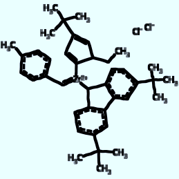 CCC1C=C(C(C)(C)C)C=[C]1/[Zr+2](=[CH]\c1ccc(C)cc1)[CH]1c2ccc(C(C)(C)C)cc2-c2cc(C(C)(C)C)ccc21.[Cl-].[Cl-]